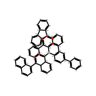 C1=CC2C(c3cccc4ccccc34)=CC=C(N(c3ccccc3-c3ccccc3)c3ccc(-c4ccccc4)cc3-c3cccc(-n4c5ccccc5c5ccccc54)c3)C2C=C1